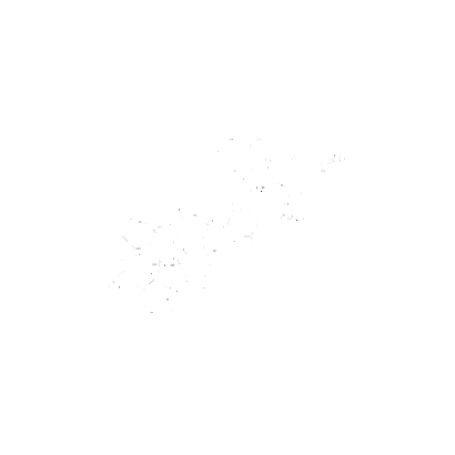 N#Cc1ccc(-c2ccc(-c3cccc(C#N)c3-n3c4ccccc4c4ccccc43)cc2)cc1-n1c2c(c3ccccc31)CC(C#N)C=C2